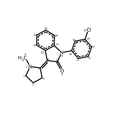 CN1CCCC1=C1C(=O)N(c2cccc(Cl)c2)c2ccccc21